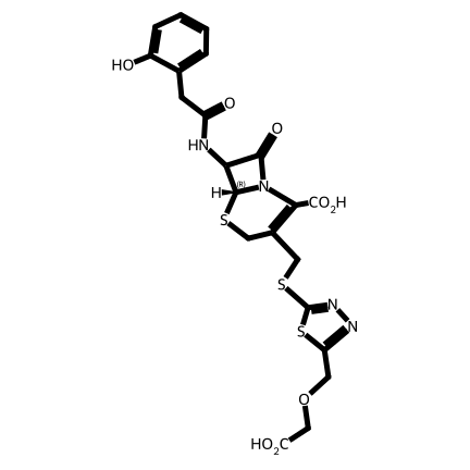 O=C(O)COCc1nnc(SCC2=C(C(=O)O)N3C(=O)C(NC(=O)Cc4ccccc4O)[C@H]3SC2)s1